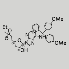 CCOP(C)(=O)CC[C@@H]1C[C@@H](O)[C@H](n2cnc3c(NC(c4ccccc4)(c4ccc(OC)cc4)c4ccc(OC)cc4)ncnc32)O1